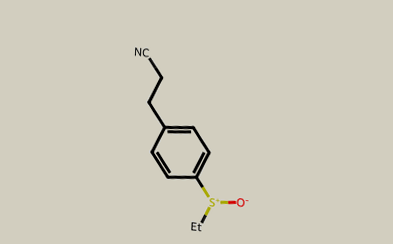 CC[S+]([O-])c1ccc(CCC#N)cc1